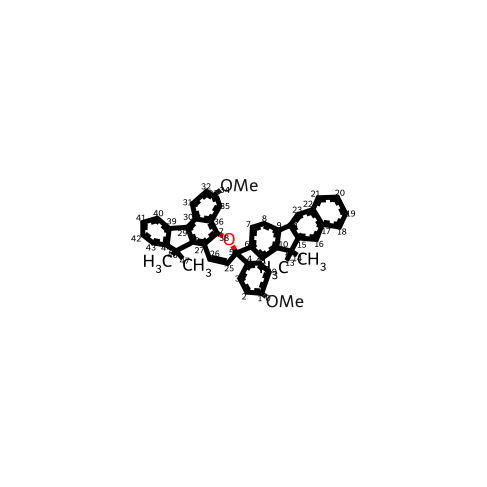 COc1ccc(C2(c3ccc4c(c3)C(C)(C)c3cc5ccccc5cc3-4)C=Cc3c4c(c5ccc(OC)cc5c3O2)-c2ccccc2C4(C)C)cc1